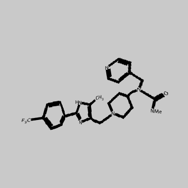 CNC(=O)N(Cc1ccncc1)C1CCN(Cc2nc(-c3ccc(C(F)(F)F)cc3)[nH]c2C)CC1